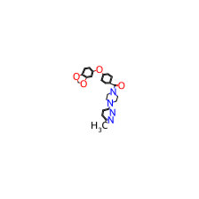 Cc1ccc(N2CCN(C(=O)c3ccc(Oc4ccc5c(c4)OCO5)cc3)CC2)nn1